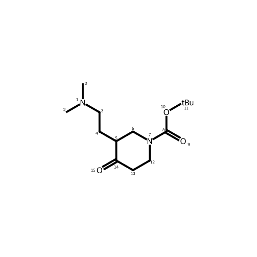 CN(C)CCC1CN(C(=O)OC(C)(C)C)CCC1=O